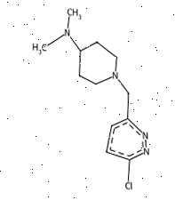 CN(C)C1CCN(Cc2ccc(Cl)nn2)CC1